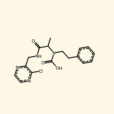 CC(C(=O)NCc1nccnc1Cl)N(CCc1ccccc1)C(=O)O